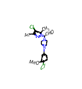 COc1cc(N2CCN(C(C=O)n3nc(C(C)=O)c(Cl)c3C)CC2)ccc1Cl